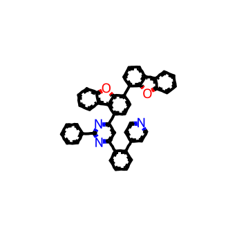 c1ccc(-c2nc(-c3ccccc3-c3ccncc3)cc(-c3ccc(-c4cccc5c4oc4ccccc45)c4oc5ccccc5c34)n2)cc1